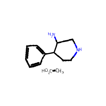 CC(=O)O.NC1CNCCC1c1ccccc1